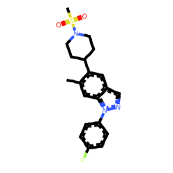 Cc1cc2c(cnn2-c2ccc(F)cc2)cc1C1CCN(S(C)(=O)=O)CC1